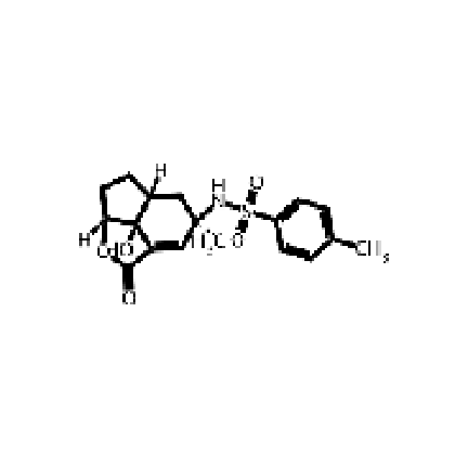 Cc1ccc(S(=O)(=O)N[C@@]2(C)C=C3C(=O)O[C@@H]4CC[C@H](C2)[C@]34O)cc1